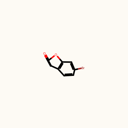 O=C1Cc2ccc(Br)cc2O1